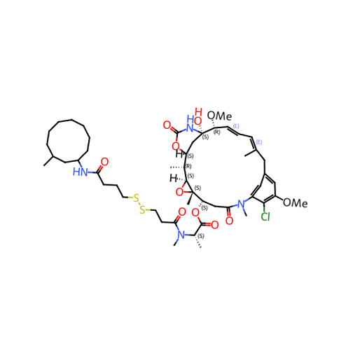 COc1cc2cc(c1Cl)N(C)C(=O)C[C@H](OC(=O)[C@H](C)N(C)C(=O)CCSSCCCC(=O)NC1CCCCCCCC(C)C1)[C@]1(C)O[C@H]1[C@H](C)[C@@H]1C[C@@](O)(NC(=O)O1)[C@H](OC)/C=C/C=C(\C)C2